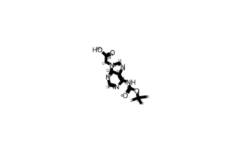 CC(C)(C)OC(=O)Nc1ncnc2c1ncn2CC(=O)O